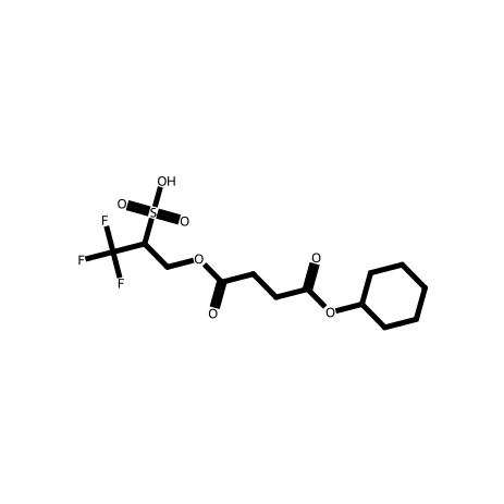 O=C(CCC(=O)OC1CCCCC1)OCC(C(F)(F)F)S(=O)(=O)O